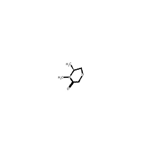 C[C@H]1COCC(=O)N1C